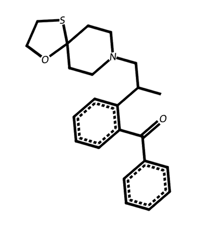 CC(CN1CCC2(CC1)OCCS2)c1ccccc1C(=O)c1ccccc1